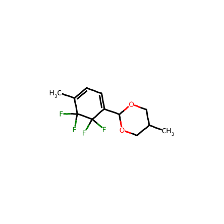 CC1=CC=C(C2OCC(C)CO2)C(F)(F)C1(F)F